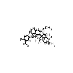 CCOc1cc2ncnc(Nc3ccc(F)c(CI)c3)c2cc1C(CC)(CC)N1CCN(C)CC1